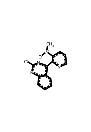 C[S+]([O-])c1cccnc1-c1nc(Cl)nc2ccccc12